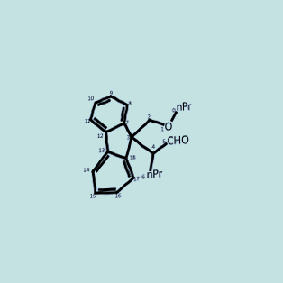 CCCOCC1(C(C=O)CCC)c2ccccc2-c2ccccc21